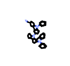 N#Cc1ccc2c(c1)c1cc(-n3c4ccccc4c4ccc5c(c6ccccc6n5-c5ccccc5)c43)ccc1n2-c1ccccc1